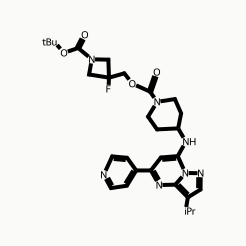 CC(C)c1cnn2c(NC3CCN(C(=O)OCC4(F)CN(C(=O)OC(C)(C)C)C4)CC3)cc(-c3ccncc3)nc12